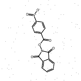 O=C(ON1C(=O)c2ccccc2C1=O)c1ccc([N+](=O)[O-])cc1